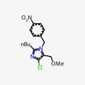 CCCCc1nc(Cl)c(COC)n1Cc1ccc([N+](=O)[O-])cc1